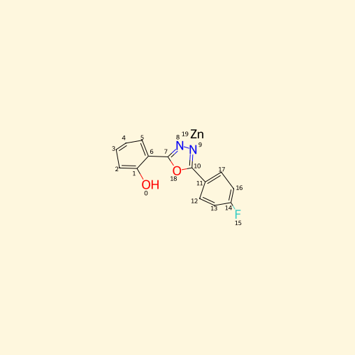 Oc1ccccc1-c1nnc(-c2ccc(F)cc2)o1.[Zn]